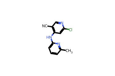 Cc1cccc(Nc2cc(Cl)ncc2C#N)n1